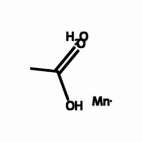 CC(=O)O.O.[Mn]